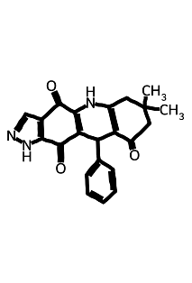 CC1(C)CC(=O)C2=C(C1)NC1=C(C(=O)c3[nH]ncc3C1=O)C2c1ccccc1